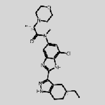 CC[C@H]1CCc2[nH]nc(-c3nc4cc(N(C)C(=O)[C@H](C)N5CCOCC5)cc(Cl)c4[nH]3)c2C1